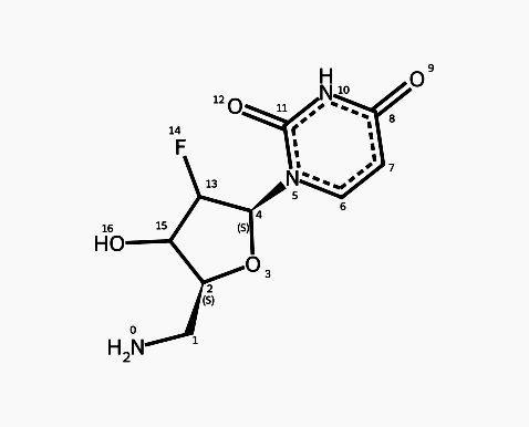 NC[C@@H]1O[C@H](n2ccc(=O)[nH]c2=O)C(F)C1O